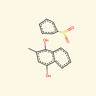 Cc1cc(O)c2ccccc2c1O.O=[SH](=O)c1ccccc1